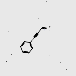 O/N=C/C#Cc1ccccc1